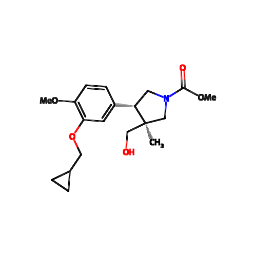 COC(=O)N1C[C@@H](c2ccc(OC)c(OCC3CC3)c2)[C@](C)(CO)C1